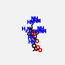 Cc1cc(=O)oc2cc(NC(=O)[C@H](CCCNC(=N)N)NC(=O)[C@@H]3CCCN3C(=O)[C@H](N)CCCNC(=N)N)ccc12